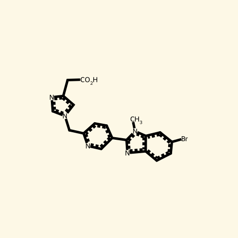 Cn1c(-c2ccc(Cn3cnc(CC(=O)O)c3)nc2)nc2ccc(Br)cc21